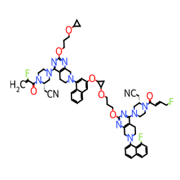 C=C(F)C(=O)N1CCN(c2nc(OCCCOC3CC3)nc3c2CCN(c2cc(OC4CC4OCCCOc4nc5c(c(N6CCN(C(=O)/C=C/CF)[C@@H](CC#N)C6)n4)CCN(c4cccc6cccc(F)c46)C5)cc4ccccc24)C3)C[C@@H]1CC#N